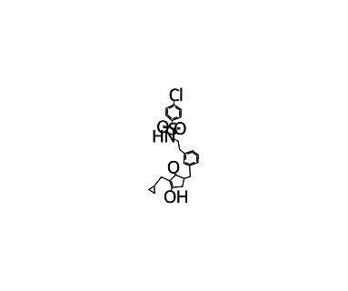 O=C1C(CC2CC2)=C(O)CC1Cc1cccc(CCNS(=O)(=O)c2ccc(Cl)cc2)c1